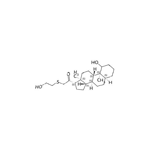 C[C@]12CC[C@H]3[C@@H](CC[C@@H]4CCCC(O)[C@@]43C)[C@@H]1CC[C@@H]2C(=O)CSCCO